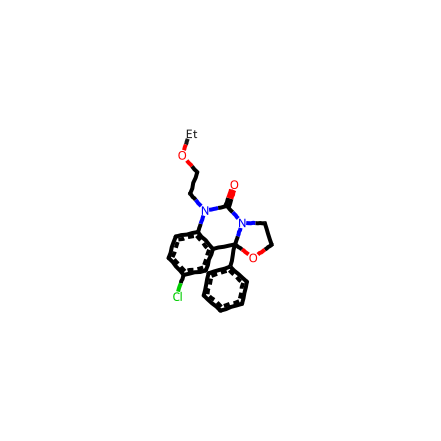 CCOCCN1C(=O)N2CCOC2(c2ccccc2)c2cc(Cl)ccc21